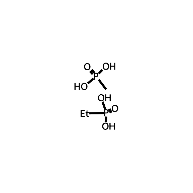 CCP(=O)(O)O.CP(=O)(O)O